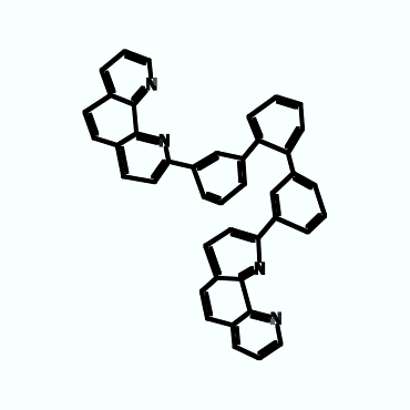 c1cc(-c2ccc3ccc4cccnc4c3n2)cc(-c2ccccc2-c2cccc(-c3ccc4ccc5cccnc5c4n3)c2)c1